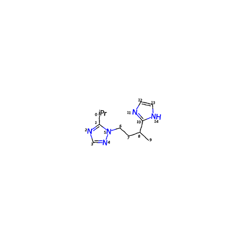 CC(C)c1ncnn1CCC(C)c1ncc[nH]1